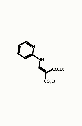 CCOC(=O)C(=CNc1ccccn1)C(=O)OCC